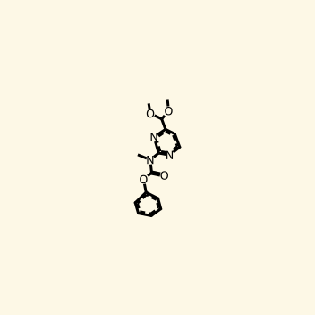 COC(OC)c1ccnc(N(C)C(=O)Oc2ccccc2)n1